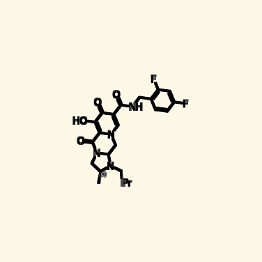 CC(C)CN1C2Cn3cc(C(=O)NCc4ccc(F)cc4F)c(=O)c(O)c3C(=O)N2C[C@@H]1C